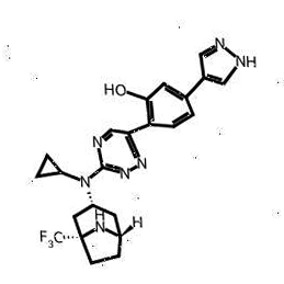 Oc1cc(-c2cn[nH]c2)ccc1-c1cnc(N(C2CC2)[C@@H]2C[C@@H]3CC[C@@](C(F)(F)F)(C2)N3)nn1